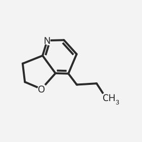 CCCc1ccnc2c1OCC2